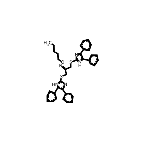 CCCCCON=C(CSc1nc(-c2ccccc2)c(-c2ccccc2)[nH]1)CSc1nc(-c2ccccc2)c(-c2ccccc2)[nH]1